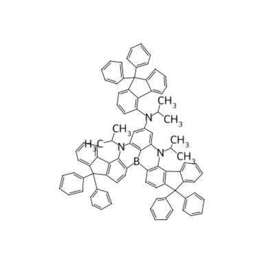 CC(C)N(c1cc2c3c(c1)N(C(C)C)c1c(ccc4c1-c1ccccc1C4(c1ccccc1)c1ccccc1)B3c1ccc3c(c1N2C(C)C)-c1ccccc1C3(c1ccccc1)c1ccccc1)c1cccc2c1-c1ccccc1C2(c1ccccc1)c1ccccc1